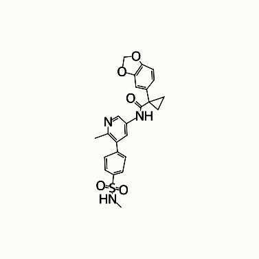 CNS(=O)(=O)c1ccc(-c2cc(NC(=O)C3(c4ccc5c(c4)OCO5)CC3)cnc2C)cc1